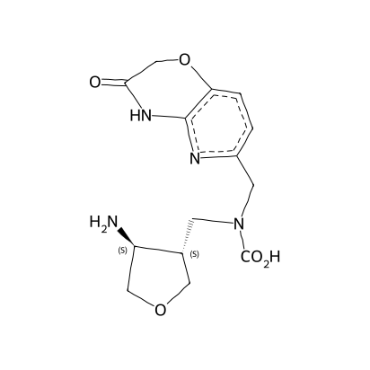 N[C@@H]1COC[C@H]1CN(Cc1ccc2c(n1)NC(=O)CO2)C(=O)O